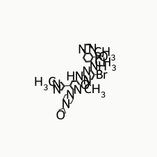 COc1nc(N2CCN(C3COC3)CC2)c(-c2cnn(C)c2)cc1Nc1ncc(Br)c(Nc2ccc3nccnc3c2P(C)(C)=O)n1